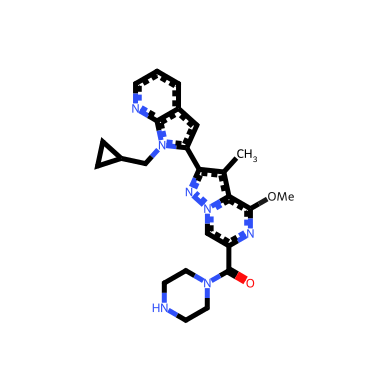 COc1nc(C(=O)N2CCNCC2)cn2nc(-c3cc4cccnc4n3CC3CC3)c(C)c12